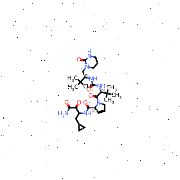 CC(C)(C)[C@H](NC(=O)N[C@H](CN1CCCNC1=O)C(C)(C)C)C(=O)N1CC=C[C@H]1C(=O)NC(CC1CC1)C(=O)C(N)=O